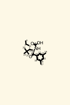 CCC[C@H](N(NC(=O)O)C(=O)c1cc(C)cc(C)c1)C(C)(C)C